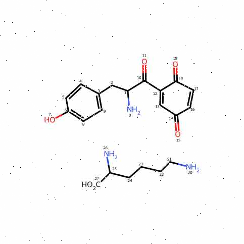 NC(Cc1ccc(O)cc1)C(=O)C1=CC(=O)C=CC1=O.NCCCCC(N)C(=O)O